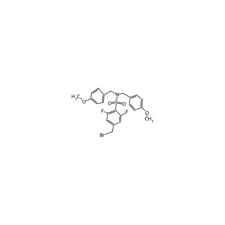 COc1ccc(CN(Cc2ccc(OC)cc2)S(=O)(=O)c2c(F)cc(CBr)cc2F)cc1